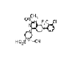 C[S+]([O-])c1nc2c(c(N3CCN(C(=O)O)[C@@H](CC#N)C3)n1)CCN(c1cccc(Cl)c1C(F)(F)F)C2